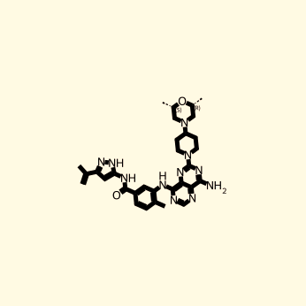 C=C(C)c1cc(NC(=O)c2ccc(C)c(Nc3ncnc4c(N)nc(N5CCC(N6C[C@@H](C)O[C@@H](C)C6)CC5)nc34)c2)[nH]n1